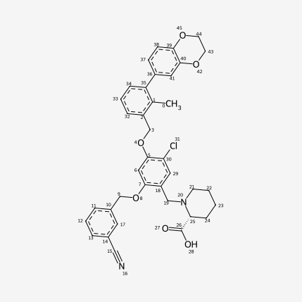 Cc1c(COc2cc(OCc3cccc(C#N)c3)c(CN3CCCC[C@@H]3C(=O)O)cc2Cl)cccc1-c1ccc2c(c1)OCCO2